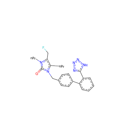 CCCc1c(CF)n(CCC)c(=O)n1Cc1ccc(-c2ccccc2-c2nnn[nH]2)cc1